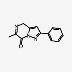 CC1=NCc2cc(-c3ccccc3)nn2C1=O